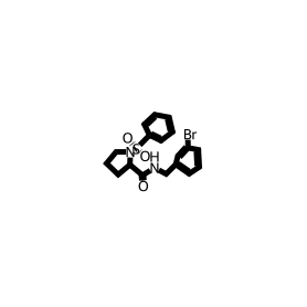 O=C(NCc1cccc(Br)c1)C1CCCN1S(=O)(=O)c1ccccc1